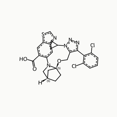 O=C(O)c1cc2scnc2cc1N1C[C@H]2CC[C@]1(OCc1c(-c3c(Cl)cccc3Cl)nnn1C1CC1)C2